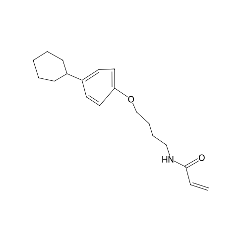 C=CC(=O)NCCCCOc1ccc(C2CCCCC2)cc1